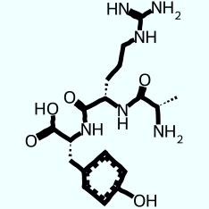 C[C@H](N)C(=O)N[C@@H](CCCNC(=N)N)C(=O)N[C@H](Cc1ccc(O)cc1)C(=O)O